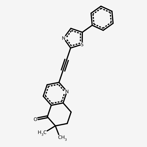 CC1(C)CCc2nc(C#Cc3ncc(-c4ccccc4)s3)ccc2C1=O